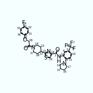 O=C(Nc1cc(C(F)(F)F)ccc1N1CCCC1)c1csc(C2CCN(C(=O)COc3ccc(F)cc3)CC2)n1